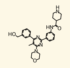 Cc1c(-c2cccc(CO)c2)nc(-c2cccc(NC(=O)C3CCNCC3)c2)nc1N1CCOCC1